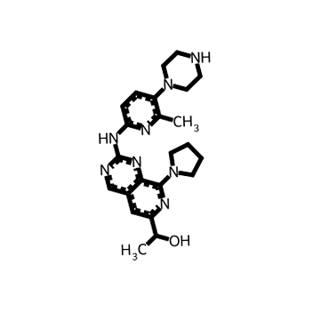 Cc1nc(Nc2ncc3cc(C(C)O)nc(N4CCCC4)c3n2)ccc1N1CCNCC1